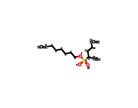 CCCCCCCCCCCCCCCCOS(=O)(=O)C(CCCC)CCCCCCCCCCCC